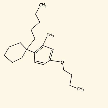 CCCCCC1(c2ccc(OCCCC)cc2C)CCCCC1